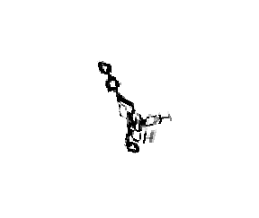 O=C(O)C[C@@H](CC1CC1c1ccc(-c2ccccc2)cc1)C(=O)NC[C@H](O)Cc1ccccc1